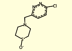 [O-][S+]1CCN(Cc2ccc(Cl)nn2)CC1